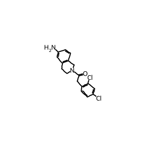 Nc1ccc2c(c1)CCN(C(=O)Cc1ccc(Cl)cc1Cl)C2